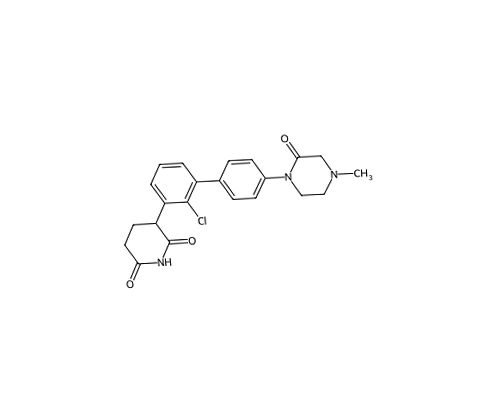 CN1CCN(c2ccc(-c3cccc(C4CCC(=O)NC4=O)c3Cl)cc2)C(=O)C1